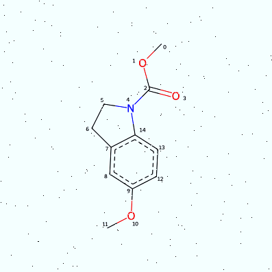 COC(=O)N1CCc2cc(OC)ccc21